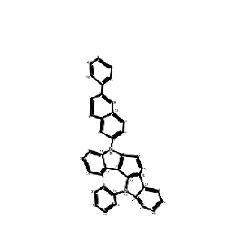 c1ccc(-c2ccc3cc(-n4c5ccccc5c5c4ccc4c6ccccc6n(-c6ccccc6)c45)ccc3c2)cc1